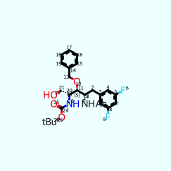 CC(=O)N[C@@H](Cc1cc(F)cc(F)c1)[C@H](OCc1ccccc1)[C@@H](CO)NC(=O)OC(C)(C)C